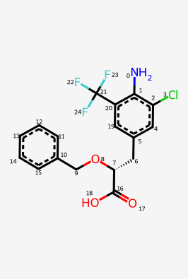 Nc1c(Cl)cc(C[C@@H](OCc2ccccc2)C(=O)O)cc1C(F)(F)F